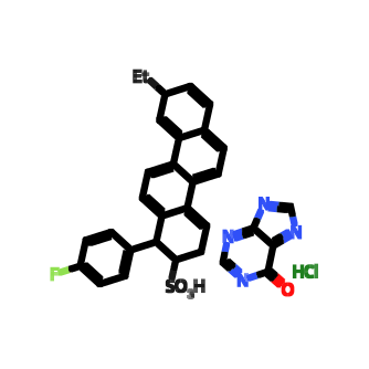 CCC1C=Cc2ccc3c4c(ccc3c2=C1)C(c1ccc(F)cc1)C(S(=O)(=O)O)CC=4.Cl.O=C1N=CN=C2N=CN=C12